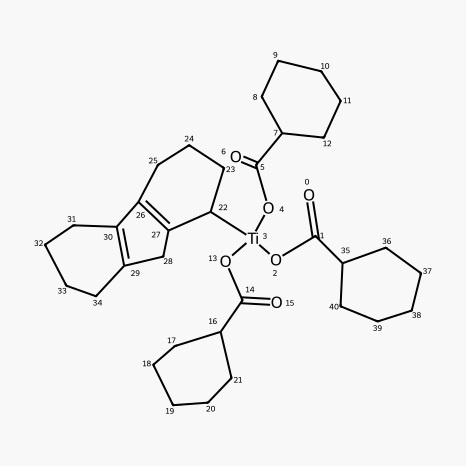 O=C([O][Ti]([O]C(=O)C1CCCCC1)([O]C(=O)C1CCCCC1)[CH]1CCCC2=C1CC1=C2CCCC1)C1CCCCC1